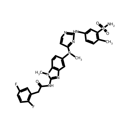 Cc1ccc(Nc2nccc(N(C)c3ccc4c(c3)nc(NC(=O)Cc3cc(F)ccc3F)n4C)n2)cc1S(N)(=O)=O